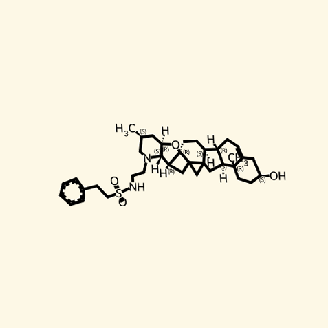 C[C@H]1C[C@H]2O[C@@]34CC[C@H]5[C@@H]6CC=C7C[C@@H](O)CC[C@]7(C)[C@H]6CC56CC63C[C@@H]4[C@@H]2N(CCNS(=O)(=O)CCc2ccccc2)C1